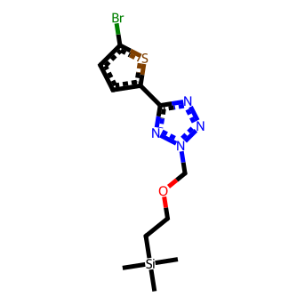 C[Si](C)(C)CCOCn1nnc(-c2ccc(Br)s2)n1